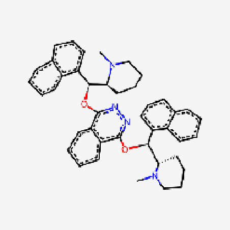 CN1CCCC[C@H]1[C@@H](Oc1nnc(O[C@@H](c2cccc3ccccc23)[C@@H]2CCCCN2C)c2ccccc12)c1cccc2ccccc12